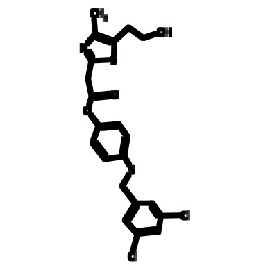 Cc1nc(CC(=O)Oc2ccc(SCc3cc(Cl)cc(Cl)c3)cc2)sc1CCO